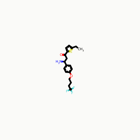 CCc1ccc(C(=O)CC(N)c2ccc(OCCCC(F)(F)F)cc2)s1